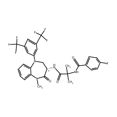 CN1C(=O)[C@@H](NC(=O)C(C)(C)NC(=O)c2ccc(F)cc2)CN(c2cc(C(F)(F)F)cc(C(F)(F)F)c2)c2ccccc21